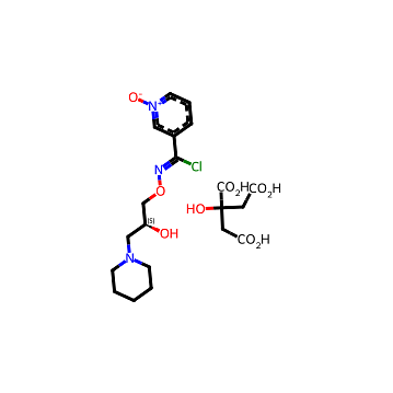 O=C(O)CC(O)(CC(=O)O)C(=O)O.[O-][n+]1cccc(C(Cl)=NOC[C@@H](O)CN2CCCCC2)c1